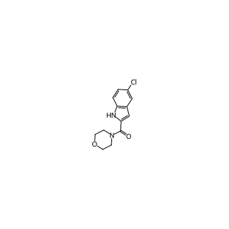 O=C(c1cc2cc(Cl)ccc2[nH]1)N1CCOCC1